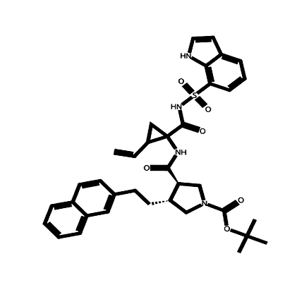 C=CC1CC1(NC(=O)[C@H]1CN(C(=O)OC(C)(C)C)C[C@@H]1CCc1ccc2ccccc2c1)C(=O)NS(=O)(=O)c1cccc2cc[nH]c12